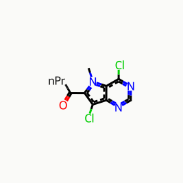 CCCC(=O)c1c(Cl)c2ncnc(Cl)c2n1C